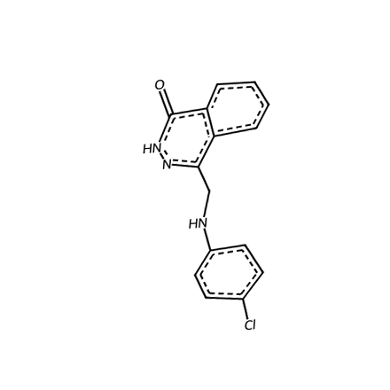 O=c1[nH]nc(CNc2ccc(Cl)cc2)c2ccccc12